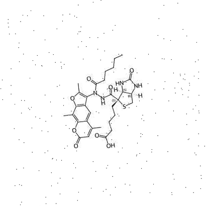 CCCCCC(=O)N(NC(=O)[C@@]1(CCCCC(=O)O)SC[C@@H]2NC(=O)N[C@@H]21)c1c(C)oc2c(C)c3oc(=O)cc(C)c3cc12